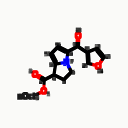 CCCCCCCCOC(=O)C1CCn2c(C(=O)c3ccoc3)ccc21